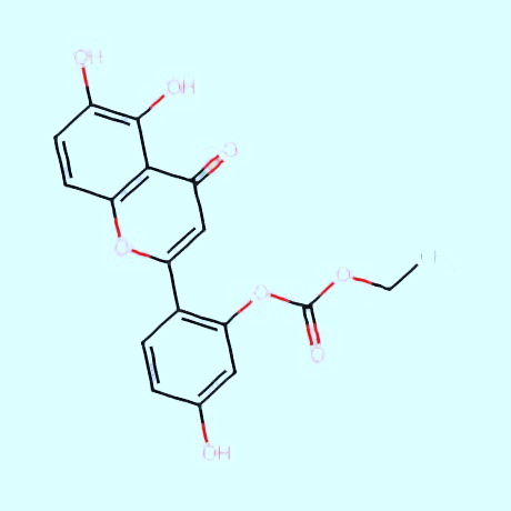 CCOC(=O)Oc1cc(O)ccc1-c1cc(=O)c2c(O)c(O)ccc2o1